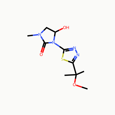 COC(C)(C)c1nnc(N2C(=O)N(C)CC2O)s1